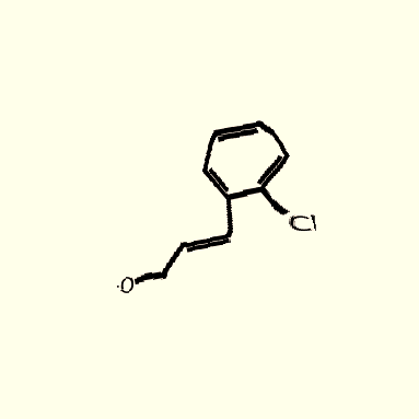 [O]C/C=C/c1ccccc1Cl